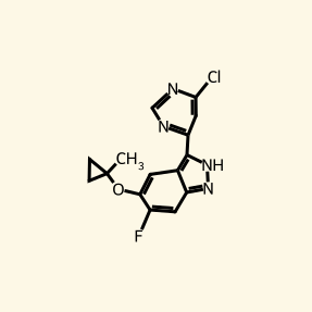 CC1(Oc2cc3c(-c4cc(Cl)ncn4)[nH]nc3cc2F)CC1